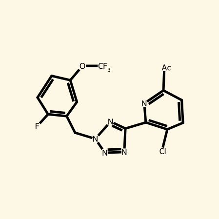 CC(=O)c1ccc(Cl)c(-c2nnn(Cc3cc(OC(F)(F)F)ccc3F)n2)n1